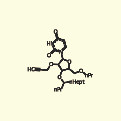 C#CCOC1C(OC(CCC)CCCCCCC)C(COCCC)OC1n1ccc(=O)[nH]c1=O